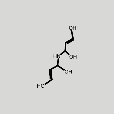 OC=CC(O)NC(O)C=CO